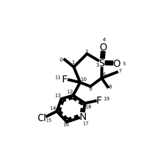 CC1CS(=O)(=O)C(C)(C)CC1(F)c1cc(Cl)cnc1F